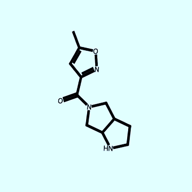 Cc1cc(C(=O)N2CC3CCNC3C2)no1